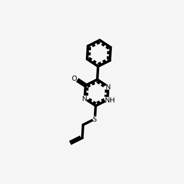 C=CCSc1nc(=O)c(-c2ccccc2)n[nH]1